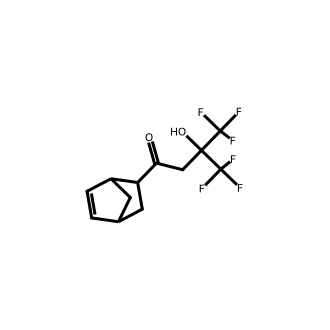 O=C(CC(O)(C(F)(F)F)C(F)(F)F)C1CC2C=CC1C2